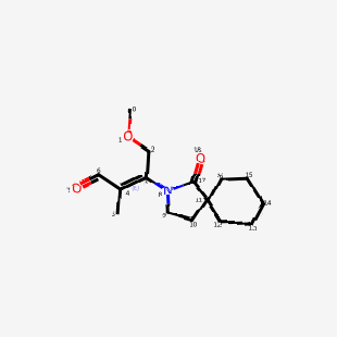 COC/C(=C(/C)C=O)N1CCC2(CCCCC2)C1=O